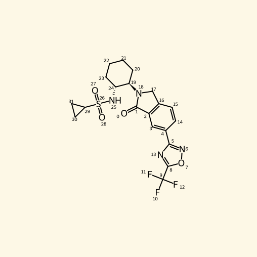 O=C1c2cc(-c3noc(C(F)(F)F)n3)ccc2CN1[C@@H]1CCCC[C@H]1NS(=O)(=O)C1CC1